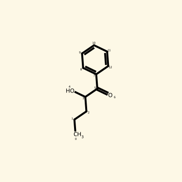 CCCC(O)C(=O)c1ccccc1